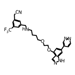 N#CCc1cc(CNCCCCOCCOc2cc(-c3ccnnc3)cc3[nH]ncc23)cc(C(F)(F)F)c1